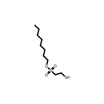 CCCCCCCCOS(=O)(=O)CCS